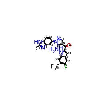 Cc1nc2cc(-n3ncc(C(=O)c4cc5cc(F)c(C(F)(F)F)cc5[nH]4)c3N)ccc2[nH]1